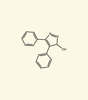 On1nnc(-c2ccccc2)c1-c1ccccc1